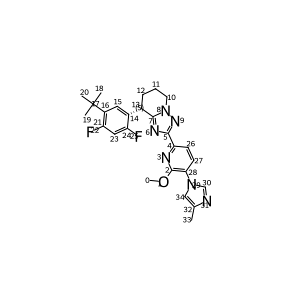 COc1nc(-c2nc3n(n2)CCC[C@H]3c2cc(C(C)(C)C)c(F)cc2F)ccc1-n1cnc(C)c1